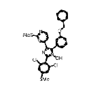 CSc1cc(Cl)c(-c2nc(-c3ccnc(SC)n3)c(-c3cccc(OCc4ccccc4)c3)n2O)c(Cl)c1